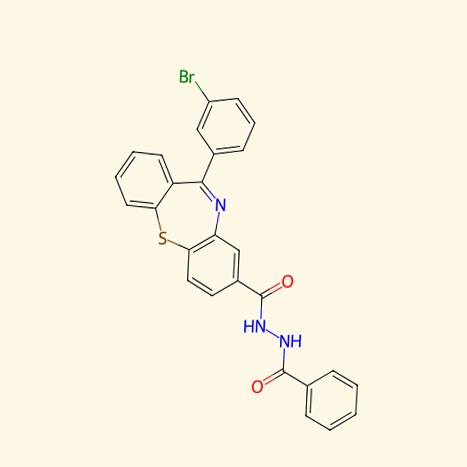 O=C(NNC(=O)c1ccc2c(c1)N=C(c1cccc(Br)c1)c1ccccc1S2)c1ccccc1